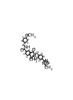 COc1ccc(CNC(=O)c2ccc3c(c2)c(=O)n(Cc2ccc(-c4noc(C)n4)cc2)c(=O)n3C)cc1